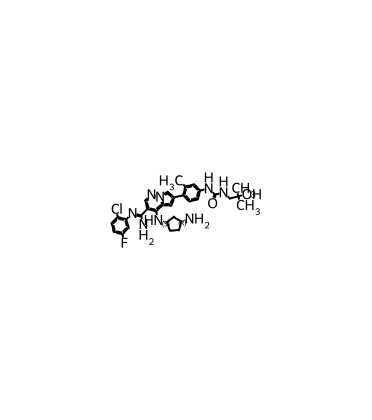 Cc1cc(NC(=O)NCC(C)(C)O)ccc1-c1cc2c(N[C@H]3CC[C@@H](N)C3)c(C(N)=Nc3cc(F)ccc3Cl)cnn2c1